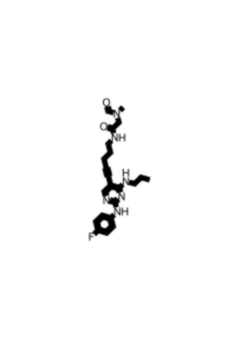 CCCNc1nc(Nc2ccc(F)cc2)ncc1C#CCCCNC(=O)CN(C)C=O